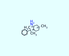 C[C@@H]1CC[C@H](C(C)(C)c2ccccc2)[C@H](N)C1